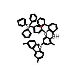 Cc1ccc2c(c1)c1cc(C)ccc1n2-c1cc(C)c2c(c1)N(c1ccc([Si](c3ccccc3)(c3ccccc3)c3ccccc3)cc1)c1c(cccc1-c1ccccc1)B2